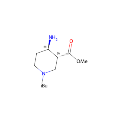 CCC(C)N1CC[C@@H](N)[C@H](C(=O)OC)C1